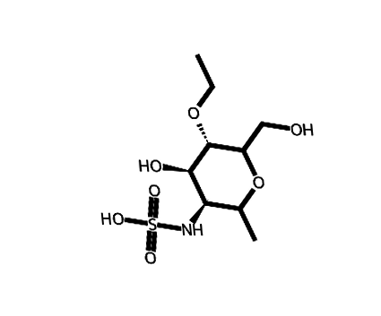 CCO[C@@H]1C(CO)OC(C)[C@@H](NS(=O)(=O)O)[C@H]1O